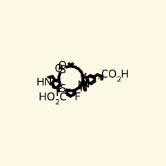 C[C@H](Cc1cccc([C@@]2(C)CCCC(C)(C)CS(=O)(=O)CCc3c(c(F)cc4[nH]ccc34)Sc3cc(c(F)cc3C(=O)O)-c3nc2nn3C)c1)C(=O)O